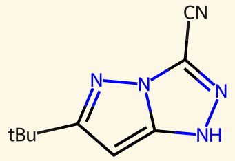 CC(C)(C)c1cc2[nH]nc(C#N)n2n1